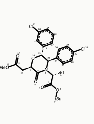 CC[C@H](C(=O)OC(C)(C)C)N1C(=O)[C@@H](CC(=O)OC)O[C@H](c2cccc(Cl)c2)[C@H]1c1ccc(Cl)cc1